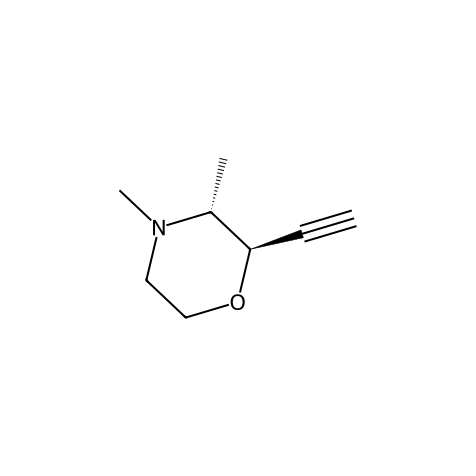 C#C[C@H]1OCCN(C)[C@@H]1C